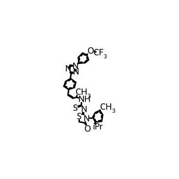 Cc1ccc(C(C)C)c(N2C(=O)CS/C2=N\C(=S)NC(C)/C=C\c2ccc(-c3ncn(-c4ccc(OC(F)(F)F)cc4)n3)cc2)c1